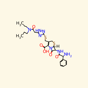 CCCN(CCC)C(=O)Cc1nc(SCC2=C(C(=O)O)N3C(=O)C(NC(=O)C(N)c4ccccc4)[C@@H]3SC2)n[nH]1